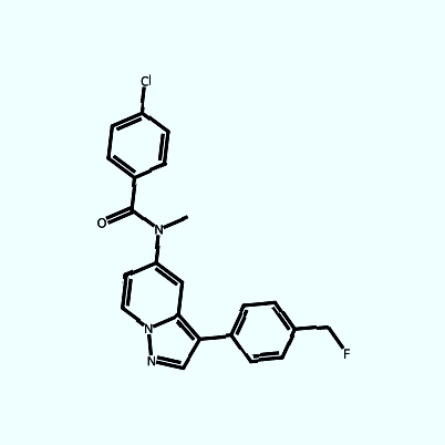 CN(C(=O)c1ccc(Cl)cc1)c1ccn2ncc(-c3ccc(CF)cc3)c2c1